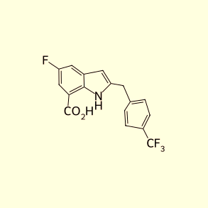 O=C(O)c1cc(F)cc2cc(Cc3ccc(C(F)(F)F)cc3)[nH]c12